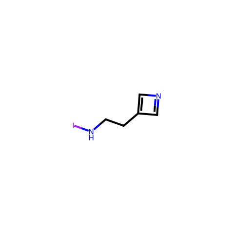 INCCC1=CN=C1